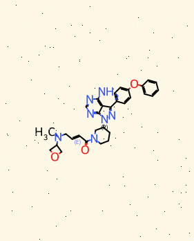 CN(C/C=C/C(=O)N1CCC[C@@H](n2nc(-c3ccc(Oc4ccccc4)cc3)c3c(N)ncnc32)C1)C1COC1